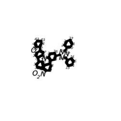 O=[N+]([O-])c1ccc(-c2cc(-c3nc(-c4ccccc4)nc(-c4ccccc4)n3)ccc2-n2c3ccccc3c3cc4oc5ccccc5c4cc32)cc1